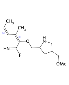 C/C=C\C(C)=C(\OCC1CC(COC)CN1)C(=N)F